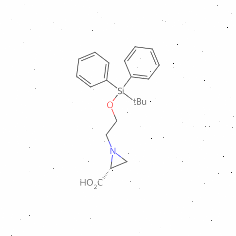 CC(C)(C)[Si](OCCN1C[C@@H]1C(=O)O)(c1ccccc1)c1ccccc1